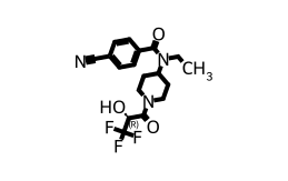 CCN(C(=O)c1ccc(C#N)cc1)C1CCN(C(=O)[C@@H](O)C(F)(F)F)CC1